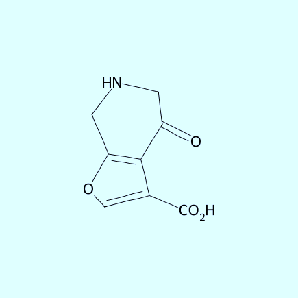 O=C(O)c1coc2c1C(=O)CNC2